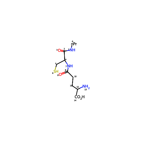 CCCNC(=O)C(CS)NC(=O)CCC(N)C(=O)O